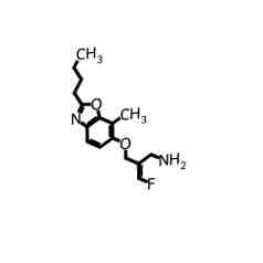 CCCCc1nc2ccc(OC/C(=C/F)CN)c(C)c2o1